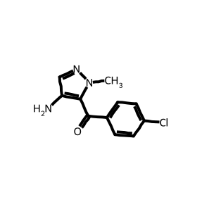 Cn1ncc(N)c1C(=O)c1ccc(Cl)cc1